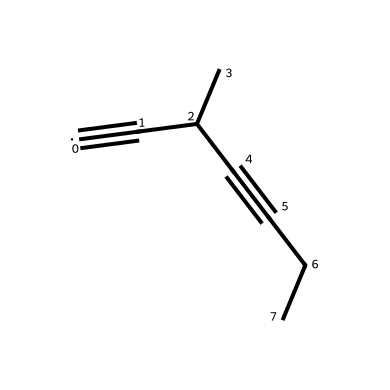 [C]#CC(C)C#CCC